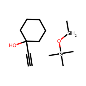 C#CC1(O)CCCCC1.C[SiH2]O[Si](C)(C)C